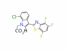 Cc1c(-c2nc3c(F)c(F)cc(F)c3s2)c2cccc(Cl)c2n1CC(=O)O